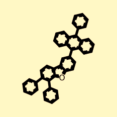 c1ccc(-c2ccc3c(oc4ccc(-c5c6ccccc6c(-c6ccccc6)c6ccccc56)cc43)c2-c2ccccc2)cc1